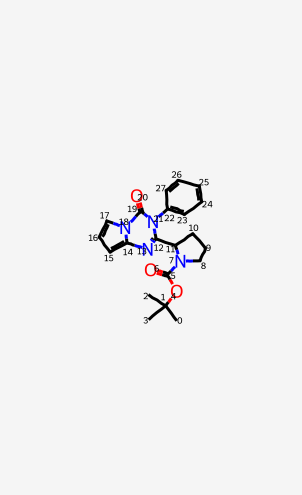 CC(C)(C)OC(=O)N1CCCC1c1nc2cccn2c(=O)n1-c1ccccc1